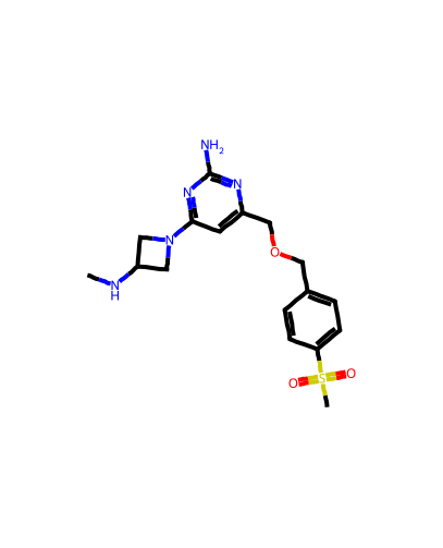 CNC1CN(c2cc(COCc3ccc(S(C)(=O)=O)cc3)nc(N)n2)C1